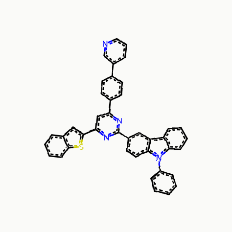 c1ccc(-n2c3ccccc3c3cc(-c4nc(-c5ccc(-c6cccnc6)cc5)cc(-c5cc6ccccc6s5)n4)ccc32)cc1